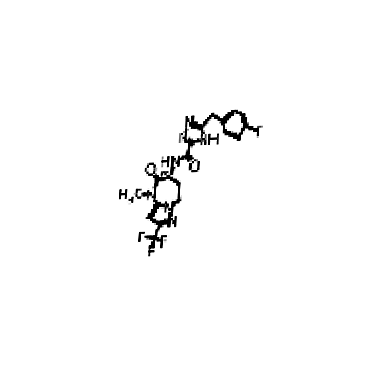 CN1C(=O)[C@@H](NC(=O)c2nnc(Cc3ccc(F)cc3)[nH]2)CCn2nc(C(F)(F)F)cc21